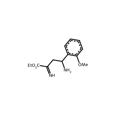 CCOC(=O)C(=N)CC(N)c1ccccc1OC